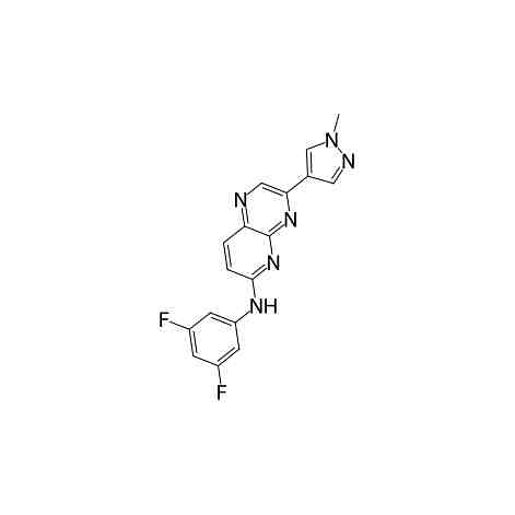 Cn1cc(-c2cnc3ccc(Nc4cc(F)cc(F)c4)nc3n2)cn1